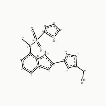 CN(c1cccc2cc(-c3nnc(CO)s3)[nH]c12)S(=O)(=O)c1cccs1